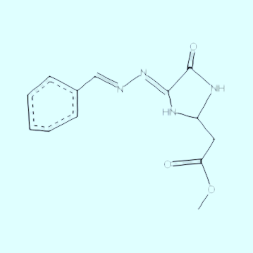 COC(=O)CC1NC(=O)C(=NN=Cc2ccccc2)N1